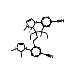 CCC1(C)c2cc(C#N)ccc2N2C=CN(C)[C@H]2C1(CC)CCc1cc(C#N)ccc1N1C=CN(C)C1C